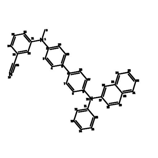 CN(c1ccc(-c2ccc(N(c3ccccc3)c3ccc4ccccc4c3)cc2)cc1)c1cccc(C#N)c1